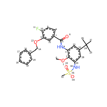 COc1c(NC(=O)c2ccc(F)c(OCc3ccccc3)c2)cc(C(C)(C)C)cc1NS(C)(=O)=O